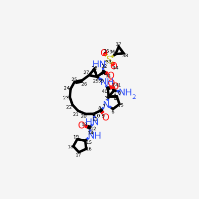 NC(=O)C12C[CH]CN1C(=O)C(NC(=O)NC1CCCC1)CCCCC/C=C/C1CC1(C(=O)NS(=O)(=O)C1CC1)NC2=O